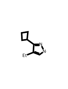 CCC1=C[N]N=C1C1CCC1